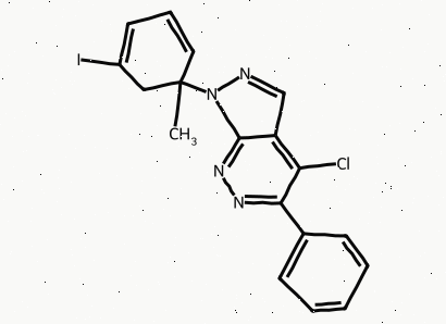 CC1(n2ncc3c(Cl)c(-c4ccccc4)nnc32)C=CC=C(I)C1